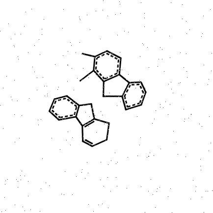 C1=CC2=C(CC1)Cc1ccccc12.Cc1ccc2c(c1C)Cc1ccccc1-2